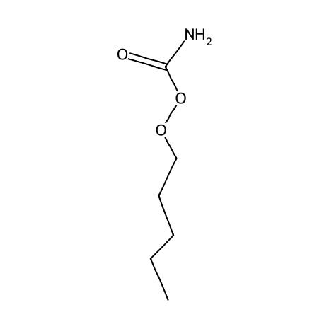 CCCCCOOC(N)=O